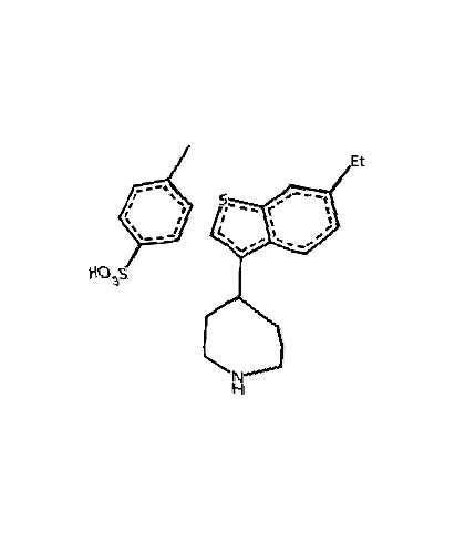 CCc1ccc2c(C3CCNCC3)csc2c1.Cc1ccc(S(=O)(=O)O)cc1